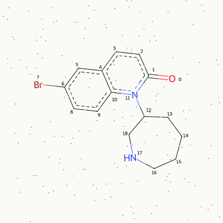 O=c1ccc2cc(Br)ccc2n1C1CCCCNC1